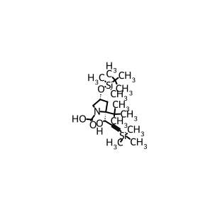 CC(C)(C)[C@]1(C(O)C#C[Si](C)(C)C)C[C@@H](O[Si](C)(C)C(C)(C)C)CN1C(=O)O